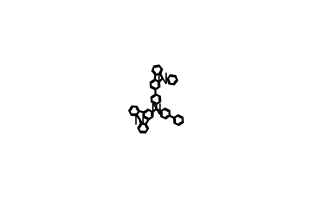 c1ccc(-c2ccc(N(c3ccc(-c4ccc5c6ccccc6n(-c6ccccc6)c5c4)cc3)c3cc4c5ccccc5n5c6ccccc6c(c3)c45)cc2)cc1